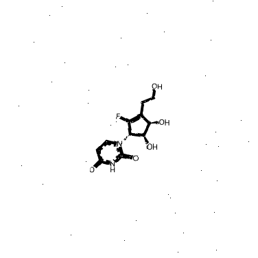 O=c1ccn([C@@H]2C(F)=C(CCO)[C@@H](O)[C@H]2O)c(=O)[nH]1